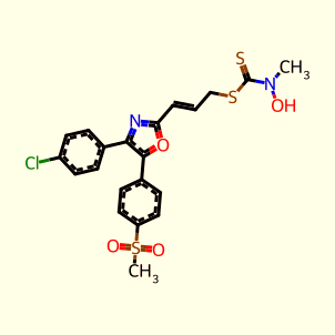 CN(O)C(=S)SCC=Cc1nc(-c2ccc(Cl)cc2)c(-c2ccc(S(C)(=O)=O)cc2)o1